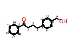 O=C(CCCc1ccc(CO)cc1)c1ccccc1